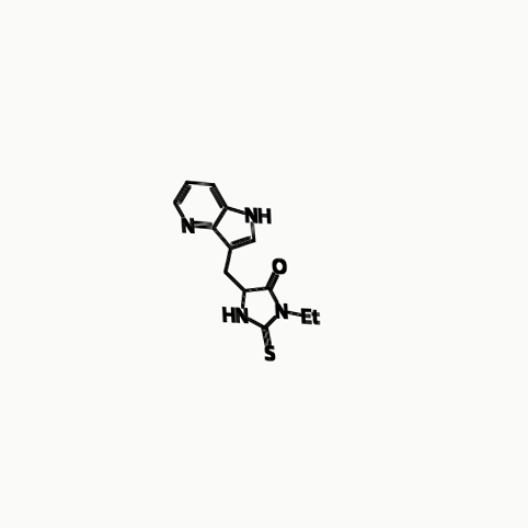 CCN1C(=O)C(Cc2c[nH]c3cccnc23)NC1=S